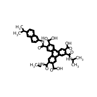 CCNC(=O)c1cc2c(cc1C(=O)O)c1cc(C(=O)NC(C)C)c(C(=O)O)cc1c1cc(C(=O)O)c(C(=O)Nc3ccc4cc(C(C)C)ccc4c3)cc12